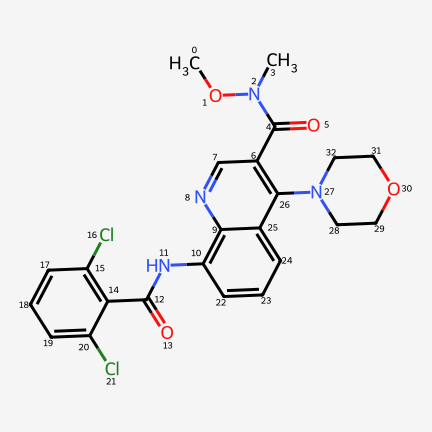 CON(C)C(=O)c1cnc2c(NC(=O)c3c(Cl)cccc3Cl)cccc2c1N1CCOCC1